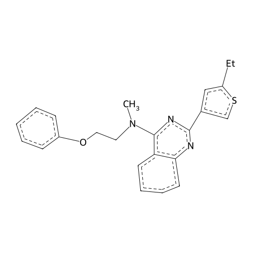 CCc1cc(-c2nc(N(C)CCOc3ccccc3)c3ccccc3n2)cs1